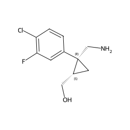 NC[C@]1(c2ccc(Cl)c(F)c2)C[C@@H]1CO